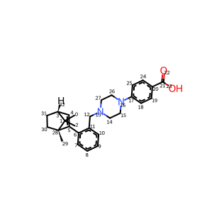 CC1(C)[C@H]2C=C(c3ccccc3CN3CCN(c4ccc(C(=O)O)cc4)CC3)[C@]1(C)CC2